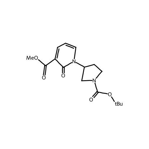 COC(=O)c1cccn(C2CCN(C(=O)OC(C)(C)C)C2)c1=O